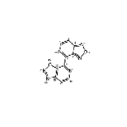 c1cc2nonc2c(-c2nccc3nnoc23)n1